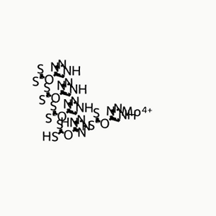 S=C(S)Oc1nnn[nH]1.S=C([S-])Oc1c[nH]nn1.S=C([S-])Oc1c[nH]nn1.S=C([S-])Oc1c[nH]nn1.S=C([S-])Oc1c[nH]nn1.[Mo+4]